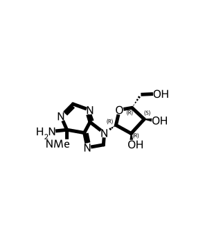 CNC1(N)N=CN=C2C1=NCN2[C@@H]1O[C@H](CO)[C@@H](O)[C@H]1O